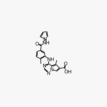 Cc1ccc(C(=O)Nn2cccc2)cc1Nc1ncnn2cc(C(=O)O)c(C)c12